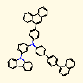 c1cc(N(c2ccc(-c3ccc(-c4cccc5ccccc45)cc3)cc2)c2ccc(-c3cc4ccccc4c4ccccc34)cc2)cc(-n2c3ccccc3c3ccccc32)c1